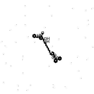 O=CNc1cc([C@@H](O)CNCCCCCCCCCN2CCC(OC(=O)Nc3ccccc3-c3ccccc3)CC2)ccc1OCc1ccccc1